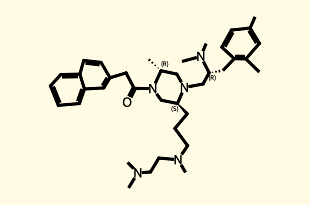 Cc1ccc(C[C@H](CN2C[C@@H](C)N(C(=O)Cc3ccc4ccccc4c3)C[C@@H]2CCCN(C)CCN(C)C)N(C)C)c(C)c1